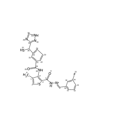 Cc1csc(C(=O)N/N=C/c2cccc(F)c2)c1NC(=O)c1cccc(C(S)c2nc[nH]n2)c1